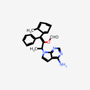 Cc1ccccc1/C(=C(\OC=O)C(C)n1ccc2c(N)ncnc21)c1ccccc1